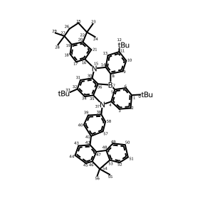 CC(C)(C)c1ccc2c(c1)B1c3ccc(C(C)(C)C)cc3N(c3ccc4c(c3)C(C)(C)CCC4(C)C)c3cc(C(C)(C)C)cc(c31)N2c1ccc(-c2cccc3c2-c2ccccc2C3(C)C)cc1